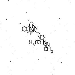 COc1nc(/C=C/c2nc3n(n2)CCC=C3c2ccccc2C(F)(F)F)ccc1-n1cnc(C)c1